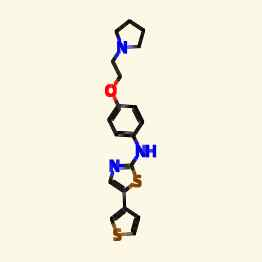 c1cc(-c2cnc(Nc3ccc(OCCN4CCCC4)cc3)s2)cs1